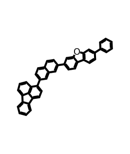 c1ccc(-c2ccc3c(c2)oc2cc(-c4ccc5ccc(-c6ccc7c8c(cccc68)-c6ccccc6-7)cc5c4)ccc23)cc1